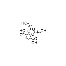 CC(C)(CO)C(=O)OC(=O)C(C)(C)CO.O=C(O)c1ccc(C(=O)O)cc1